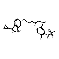 CC(CNCCOc1ccc2c(C3CC3)n[nH]c2c1)c1ccc(F)c(NS(C)(=O)=O)c1